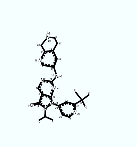 CC(C)n1c(=O)c2cnc(Nc3cnc4c(c3)CCNC4)nc2n1-c1ccnc(C(C)(C)C)c1